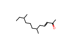 CCC(C)CCCC(C)CC=CC(C)=O